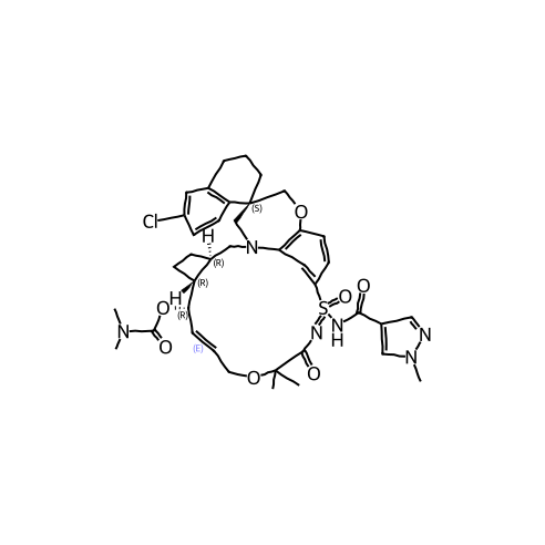 CN(C)C(=O)O[C@H]1/C=C/COC(C)(C)C(=O)N=S(=O)(NC(=O)c2cnn(C)c2)c2ccc3c(c2)N(C[C@@H]2CC[C@H]21)C[C@@]1(CCCc2cc(Cl)ccc21)CO3